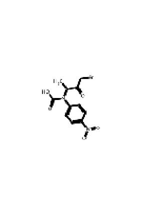 CC(C(=O)CBr)N(C(=O)O)c1ccc([N+](=O)[O-])cc1